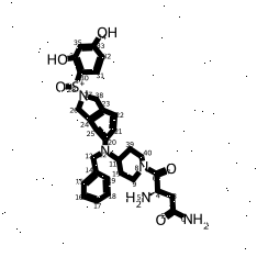 NC(=O)C[C@H](N)C(=O)N1CCC(N(Cc2ccccc2)c2ccc3c(c2)CN([S+]([O-])c2ccc(O)cc2O)C3)CC1